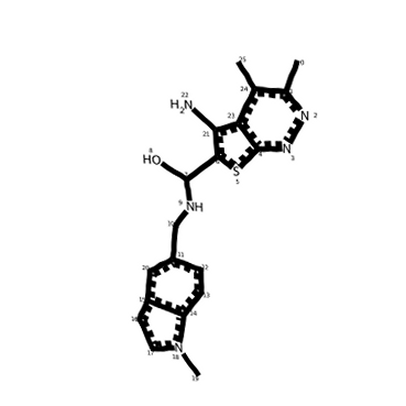 Cc1nnc2sc(C(O)NCc3ccc4c(ccn4C)c3)c(N)c2c1C